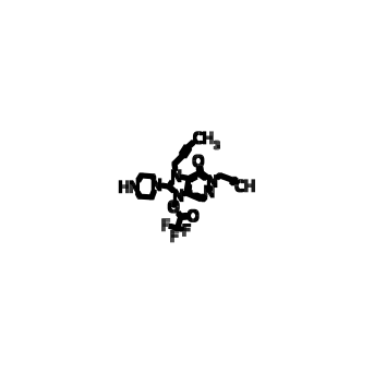 C#CCn1ncc2c(c1=O)N(CC#CC)C(N1CCNCC1)N2OC(=O)C(F)(F)F